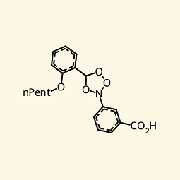 CCCCCOc1ccccc1C1OON(c2cccc(C(=O)O)c2)O1